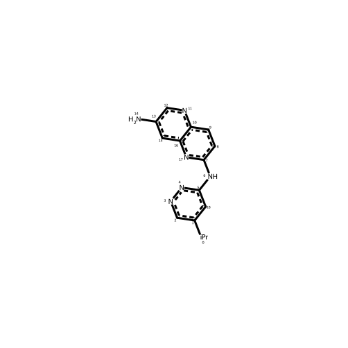 CC(C)c1cnnc(Nc2ccc3ncc(N)cc3n2)c1